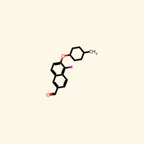 CC1CCC(Oc2ccc3cc(C=O)ccc3c2I)CC1